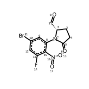 O=C[C@@H]1CCC(=O)N1c1cc(Br)cc(F)c1[N+](=O)[O-]